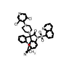 CCOc1ccccc1C1(N2CCN(c3c(Cl)cncc3Cl)CC2)C(=O)N(S(=O)(=O)c2cccc3cccnc23)c2ccc(C#N)cc21